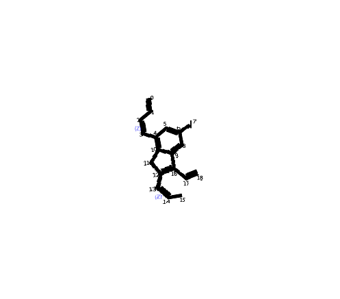 C=C/C=C\c1cc(I)cc2c1CC(/C=C\C)=C2C=C